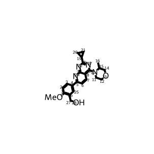 COc1ccc(-c2ccc3c(N4CCOCC4C)nc(C4CC4)nc3n2)cc1CO